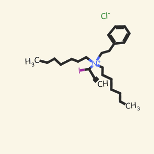 C#CC(I)[N+](CCCCCCC)(CCCCCCC)CCc1ccccc1.[Cl-]